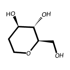 OC[C@H]1OCC[C@@H](O)[C@@H]1O